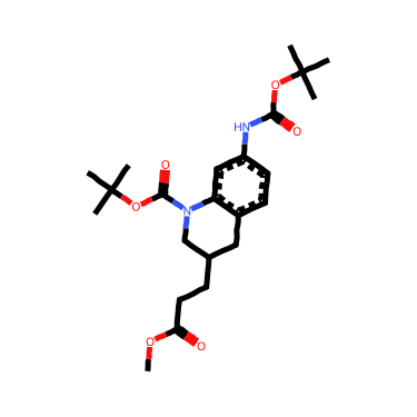 COC(=O)CCC1Cc2ccc(NC(=O)OC(C)(C)C)cc2N(C(=O)OC(C)(C)C)C1